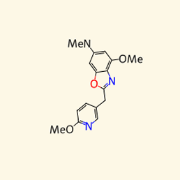 CNc1cc(OC)c2nc(Cc3ccc(OC)nc3)oc2c1